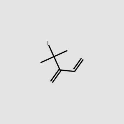 C=CC(=C)C(C)(C)I